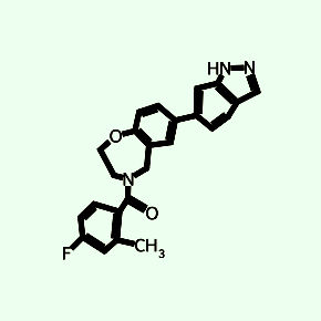 Cc1cc(F)ccc1C(=O)N1CCOc2ccc(-c3ccc4cn[nH]c4c3)cc2C1